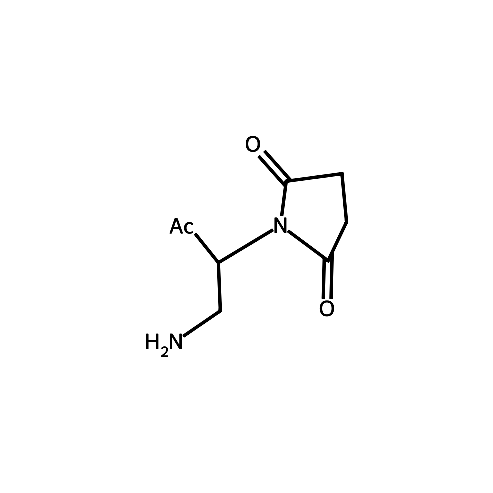 CC(=O)C(CN)N1C(=O)CCC1=O